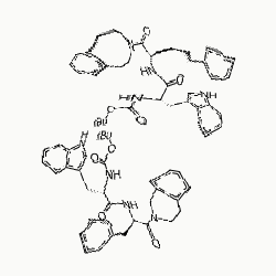 CC(C)(C)OC(=O)N[C@@H](Cc1c[nH]c2ccccc12)C(=O)N[C@H](CCc1ccccc1)C(=O)N1CCc2ccccc2C1.CC(C)(C)OC(=O)N[C@@H](Cc1c[nH]c2ccccc12)C(=O)N[C@H](Cc1ccccc1)C(=O)N1CCc2ccccc2C1